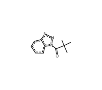 CC(C)(C)C(=O)n1nnc2ccccc21